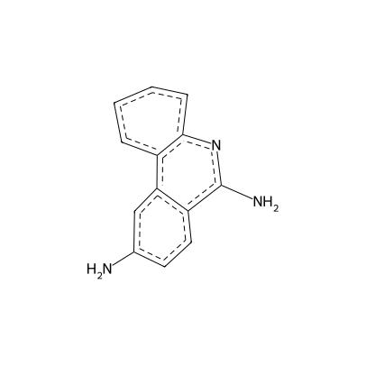 Nc1ccc2c(N)nc3ccccc3c2c1